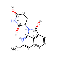 COc1cc2cccc3c2c(n1)N(C1CCC(=O)NC1=O)C3=O